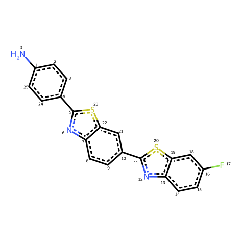 Nc1ccc(-c2nc3ccc(-c4nc5ccc(F)cc5s4)cc3s2)cc1